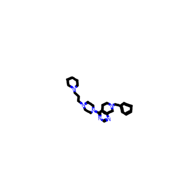 c1ccc(CN2CCc3c(ncnc3N3CCN(CCCN4CCCCC4)CC3)C2)cc1